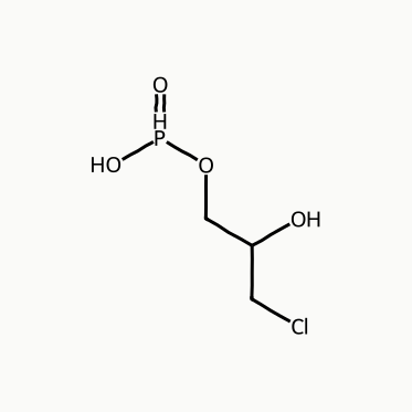 O=[PH](O)OCC(O)CCl